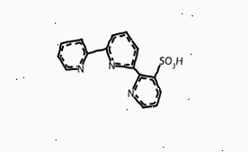 O=S(=O)(O)c1cccnc1-c1cccc(-c2ccccn2)n1